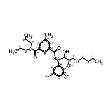 CCCCOCC(O)[C@H](O)C(NC(=O)c1cc(C)cc(C(=O)N(CCC)CCC)c1)c1cc(F)cc(F)c1